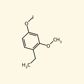 CCc1ccc(OI)cc1OC